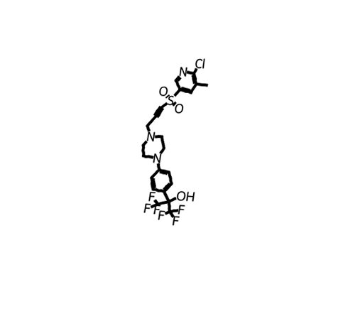 Cc1cc(S(=O)(=O)C#CCN2CCN(c3ccc(C(O)(C(F)(F)F)C(F)(F)F)cc3)CC2)cnc1Cl